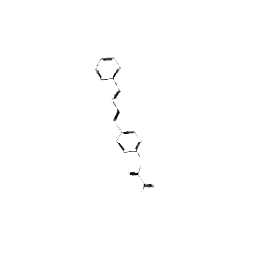 C=C(C)C(=O)Oc1ccc(C=CC=Cc2ccccc2)cc1